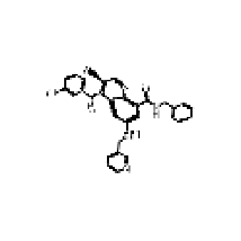 N#Cc1cnc2c(C(=O)NCc3ccccc3)cc(NCc3cccnc3)cc2c1Nc1cccc(Cl)c1